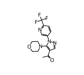 CC(=O)c1cnn(-c2ccc(C(F)(F)F)nc2)c1N1CCOCC1